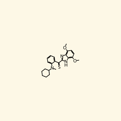 COc1ccc(OC)c2[nH]c(C(=S)c3ccccc3N(C)C3CCCCC3)nc12